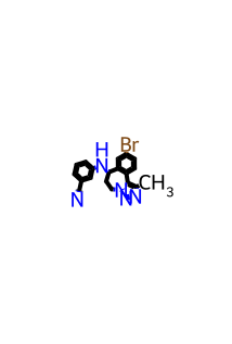 Cc1nnn2c1-c1ccc(Br)cc1C(Nc1cccc(C#N)c1)CC2